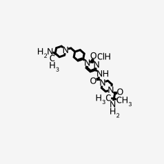 CC1(N)CCN(CC2CC=C(n3ccc(NC(=O)N4CCN(C(=O)C(C)(C)N)CC4)nc3=O)CC2)CC1.Cl